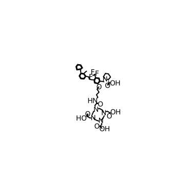 Cc1c(/C=C/c2cc(OCCCCNC(=O)CN3CCN(CC(=O)O)CCN(CC(=O)O)CCN(CC(=O)O)CC3)c(CN3CCCC[C@H]3C(=O)O)cc2C(F)(F)F)cccc1-c1ccccc1